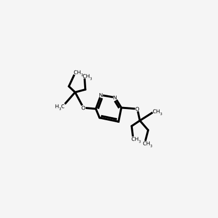 CCC(C)(CC)Oc1ccc(OC(C)(CC)CC)nn1